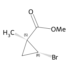 COC(=O)[C@]1(C)C[C@H]1Br